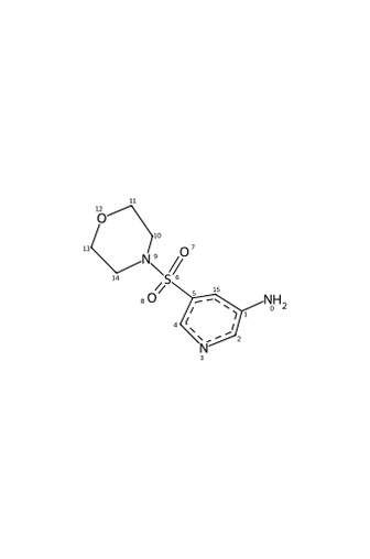 Nc1cncc(S(=O)(=O)N2CCOCC2)c1